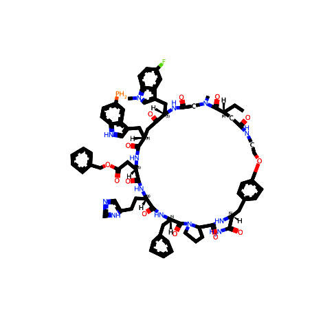 CC[C@@H]1CC(=O)NCCOc2ccc(cc2)C[C@@H](C(N)=O)NC(=O)C2CCCN2C(=O)[C@H](Cc2ccccc2)NC(=O)[C@H](CCc2cnc[nH]2)NC(=O)[C@H](CC(=O)OCc2ccccc2)NC(=O)[C@H](Cc2c[nH]c3ccc(P)cc23)CC(=O)[C@H](Cc2cn(C)c3ccc(F)cc23)NC(=O)CN(C)C1=O